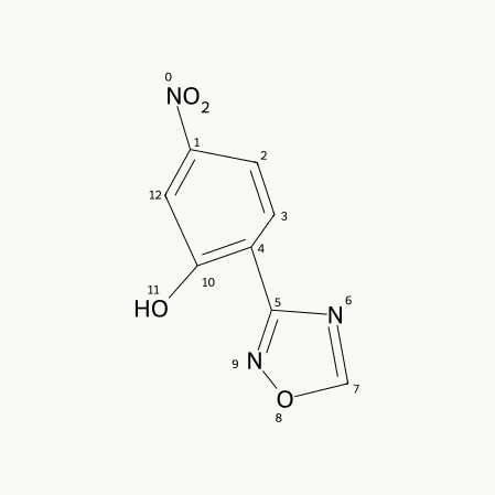 O=[N+]([O-])c1ccc(-c2ncon2)c(O)c1